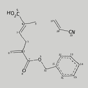 C=C(CC=C(C)C(=O)O)C(=O)OCc1ccccc1.C=CC#N